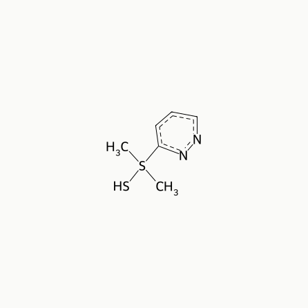 CS(C)(S)c1cccnn1